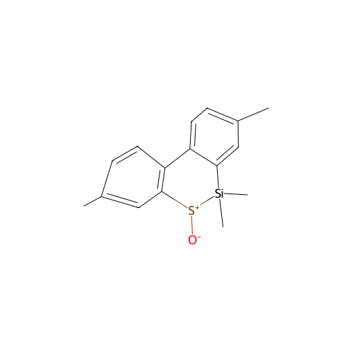 Cc1ccc2c(c1)[S+]([O-])[Si](C)(C)c1cc(C)ccc1-2